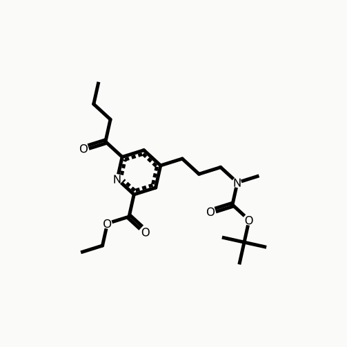 CCCC(=O)c1cc(CCCN(C)C(=O)OC(C)(C)C)cc(C(=O)OCC)n1